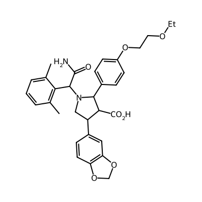 CCOCCOc1ccc(C2C(C(=O)O)C(c3ccc4c(c3)OCO4)CN2C(C(N)=O)c2c(C)cccc2C)cc1